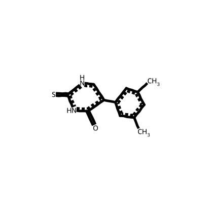 Cc1cc(C)cc(-c2c[nH]c(=S)[nH]c2=O)c1